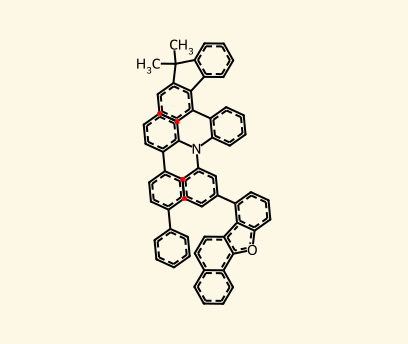 CC1(C)c2ccccc2-c2c(-c3ccccc3N(c3cccc(-c4cccc5oc6c7ccccc7ccc6c45)c3)c3ccccc3-c3ccc(-c4ccccc4)cc3)cccc21